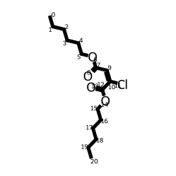 CCCCCCOC(=O)/C=C(/Cl)C(=O)OCCCCCC